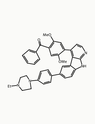 CCN1CCN(c2ccc(-c3ccc4[nH]c5nccc(-c6cc(OC)c(C(=O)c7ccccc7)cc6OC)c5c4c3)cc2)CC1